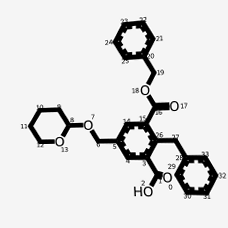 O=C(O)c1cc(COC2CCCCO2)cc(C(=O)OCc2ccccc2)c1Cc1ccccc1